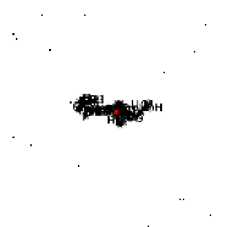 Cc1c(S(C)(=O)=O)c(-c2cc(F)cc(N3CCN(c4ccc(NS(=O)(=O)C(C[SH]5C=CC=C5)C(CN5CCC(C(=O)OCCCP(=O)(O)O)CC5)N(c5ccccc5)S(=O)(=O)C(F)(F)F)cc4)CC3)c2)c(-c2ccc(Cl)cc2)n1C(C)C